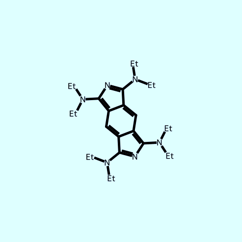 CCN(CC)C1=NC(N(CC)CC)=c2cc3c(cc21)=C(N(CC)CC)N=C3N(CC)CC